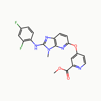 COC(=O)c1cc(Oc2ccc3nc(Nc4ccc(F)cc4F)n(C)c3n2)ccn1